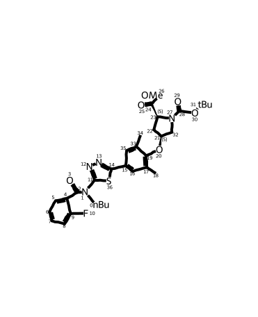 CCCCN(C(=O)c1ccccc1F)c1nnc(-c2cc(C)c(O[C@H]3C[C@@H](C(=O)OC)N(C(=O)OC(C)(C)C)C3)c(C)c2)s1